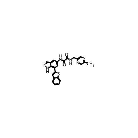 Cc1cnc(CNC(=O)C(=O)Nc2cc(-c3cc4ccccc4s3)c3[nH]ncc3c2)cn1